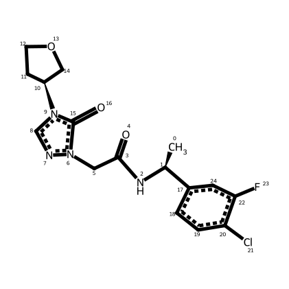 C[C@H](NC(=O)Cn1ncn([C@H]2CCOC2)c1=O)c1ccc(Cl)c(F)c1